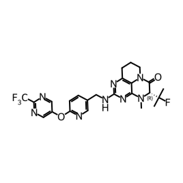 CN1c2nc(NCc3ccc(Oc4cnc(C(F)(F)F)nc4)nc3)nc3c2N(CCC3)C(=O)[C@@H]1C(C)(C)F